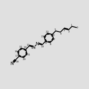 CCC=CCCc1ccc(C=NN=Cc2ccc(C#N)cc2)cc1